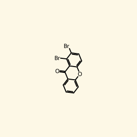 O=c1c2ccccc2oc2ccc(Br)c(Br)c12